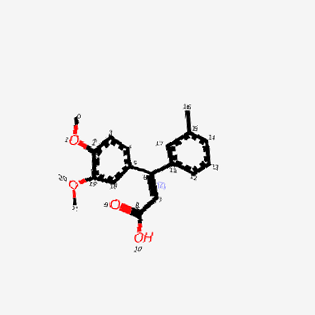 COc1ccc(/C(=C\C(=O)O)c2cccc(C)c2)cc1OC